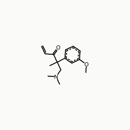 C=CC(=O)C(C)(CN(C)C)c1cccc(OC)c1